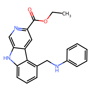 CCOC(=O)c1cc2c(cn1)[nH]c1cccc(CNc3ccccc3)c12